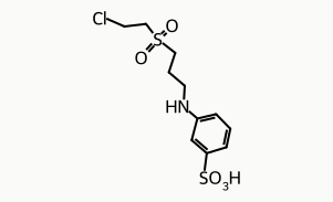 O=S(=O)(CCCl)CCCNc1cccc(S(=O)(=O)O)c1